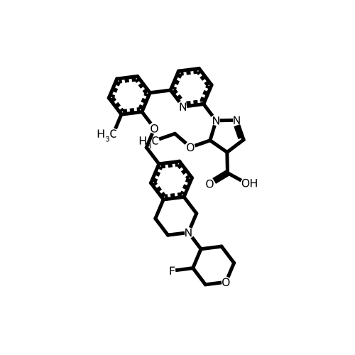 CCOC1C(C(=O)O)C=NN1c1cccc(-c2cccc(C)c2OCc2ccc3c(c2)CCN(C2CCOCC2F)C3)n1